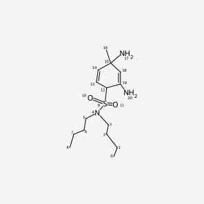 CCCCN(CCCC)S(=O)(=O)C1C=CC(C)(N)C=C1N